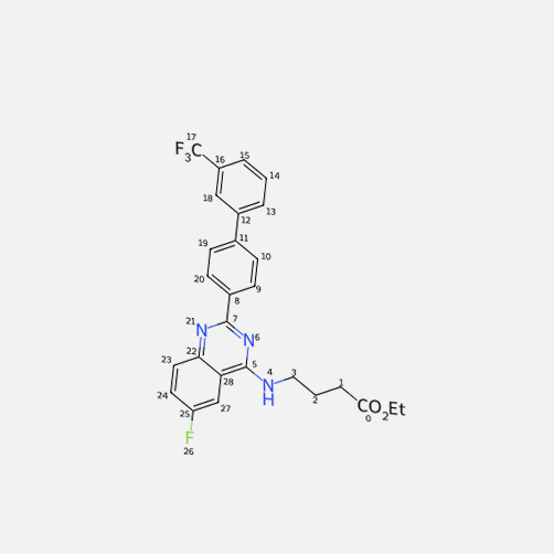 CCOC(=O)CCCNc1nc(-c2ccc(-c3cccc(C(F)(F)F)c3)cc2)nc2ccc(F)cc12